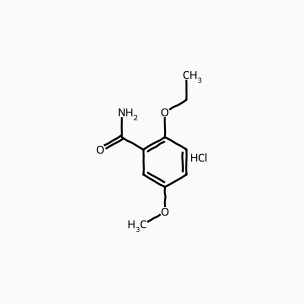 CCOc1ccc(OC)cc1C(N)=O.Cl